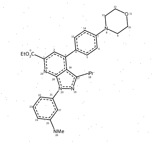 CCOC(=O)c1cc(-c2ccc(N3CCOCC3)cc2)c2c(C(C)C)nn(-c3cccc(NC)c3)c2n1